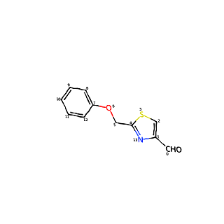 O=Cc1csc(COc2ccccc2)n1